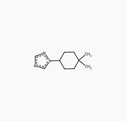 CC1(C)C[CH]C(n2cncn2)CC1